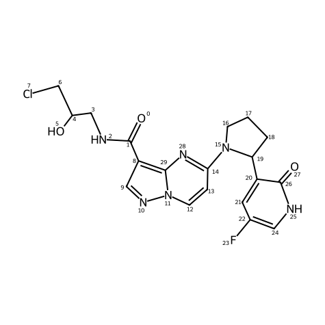 O=C(NCC(O)CCl)c1cnn2ccc(N3CCCC3c3cc(F)c[nH]c3=O)nc12